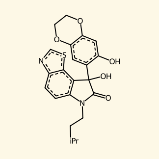 CC(C)CCN1C(=O)C(O)(c2cc3c(cc2O)OCCO3)c2c1ccc1ncsc21